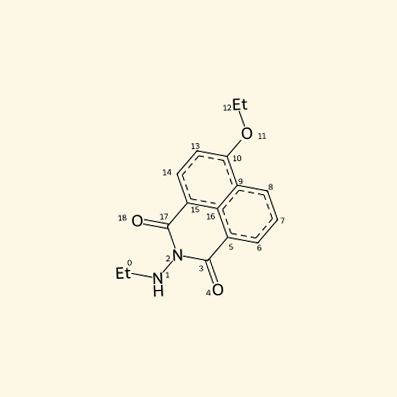 CCNN1C(=O)c2cccc3c(OCC)ccc(c23)C1=O